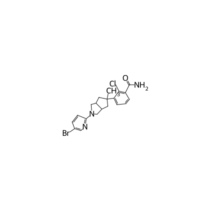 CC1(c2cccc(C(N)=O)c2Cl)CC2CN(c3ccc(Br)cn3)CC2C1